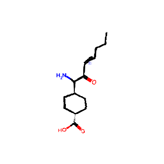 CCC/C=C/C(=O)C(N)[C@H]1CC[C@H](C(=O)O)CC1